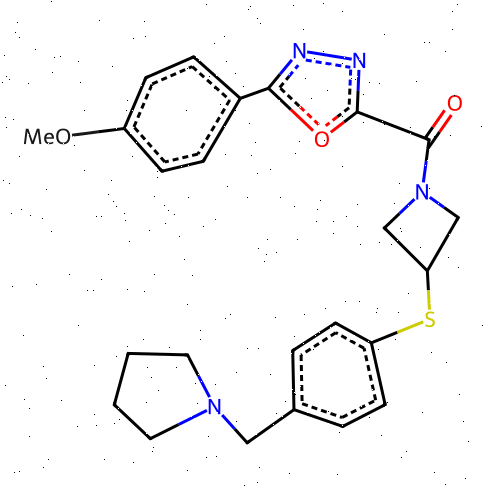 COc1ccc(-c2nnc(C(=O)N3CC(Sc4ccc(CN5CCCC5)cc4)C3)o2)cc1